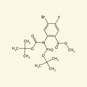 COC(=O)c1cc(F)c(Br)cc1N(C(=O)OC(C)(C)C)C(=O)OC(C)(C)C